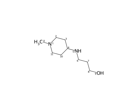 CN1CCC(NCCCO)CC1